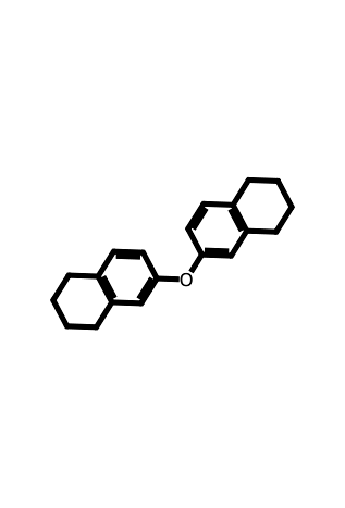 c1cc2c(cc1Oc1ccc3c(c1)CCCC3)CCCC2